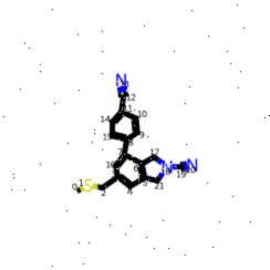 CSCc1cc2c(c(-c3ccc(C#N)cc3)c1)CN(C#N)C2